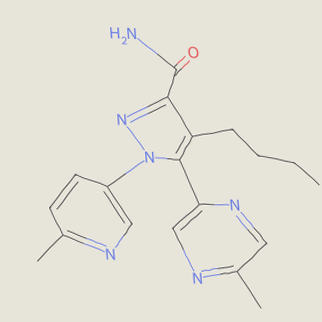 CCCCc1c(C(N)=O)nn(-c2ccc(C)nc2)c1-c1cnc(C)cn1